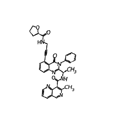 Cc1ncc2cccnc2c1C(=O)N[C@H](C)c1nc2cccc(C#CCNC(=O)[C@H]3CCCO3)c2c(=O)n1-c1ccccc1